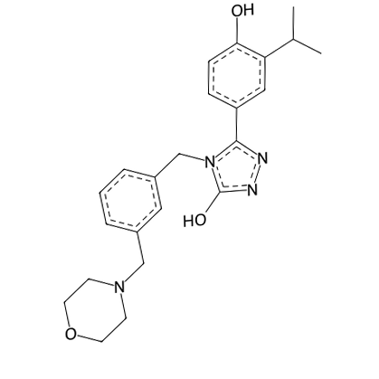 CC(C)c1cc(-c2nnc(O)n2Cc2cccc(CN3CCOCC3)c2)ccc1O